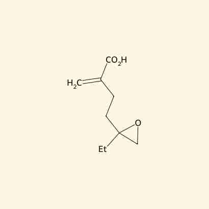 C=C(CCC1(CC)CO1)C(=O)O